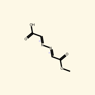 COC(=O)/C=N/N=C/C(=O)O